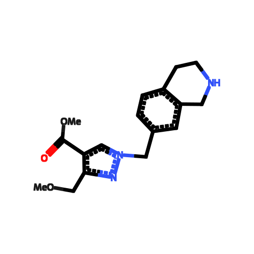 COCc1nn(Cc2ccc3c(c2)CNCC3)cc1C(=O)OC